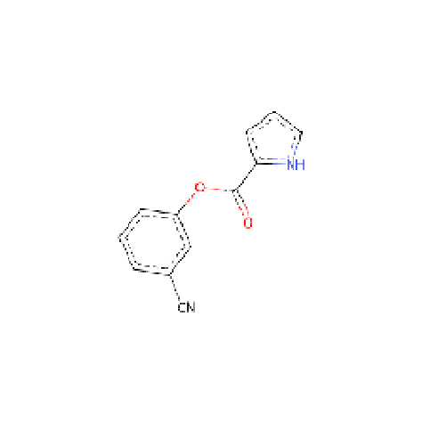 N#Cc1cccc(OC(=O)c2ccc[nH]2)c1